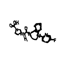 O=C(O)N1CC[C@@H](NC(=O)N2CCN(c3ccc(F)cn3)c3ccccc32)C1